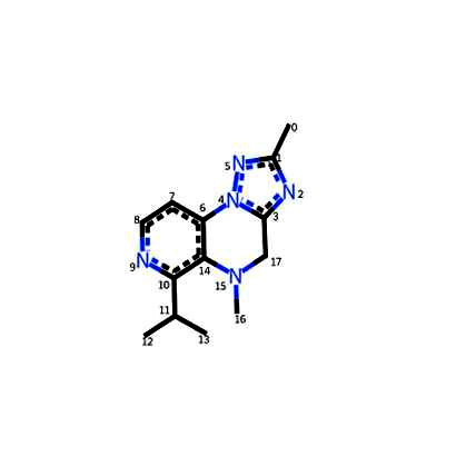 Cc1nc2n(n1)-c1ccnc(C(C)C)c1N(C)C2